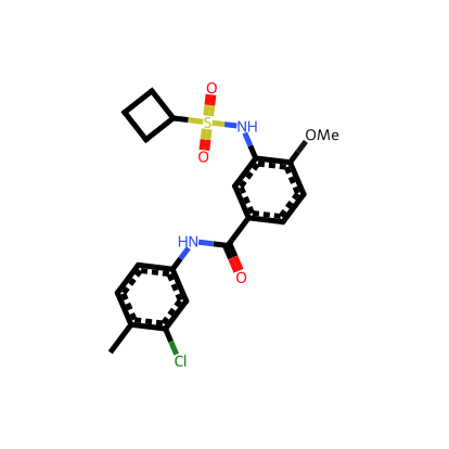 COc1ccc(C(=O)Nc2ccc(C)c(Cl)c2)cc1NS(=O)(=O)C1CCC1